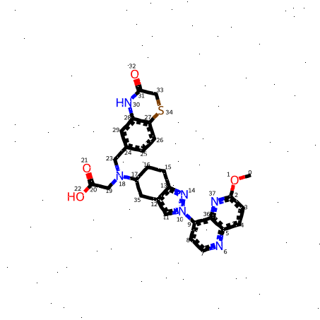 COc1ccc2nccc(-n3cc4c(n3)CCC(N(CC(=O)O)Cc3ccc5c(c3)NC(=O)CS5)C4)c2n1